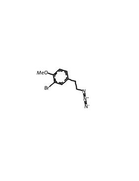 COc1ccc(CCN=[N+]=[N-])cc1Br